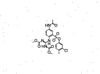 COC(=O)N=C(NC(=O)OC)Nc1ccc(NC(C)=O)cc1S(=O)(=O)Oc1ccc(C)c(Cl)c1